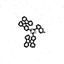 CC1C=Cc2c(cccc2-c2nc(-c3ccc4c(c3)C3(c5ccccc5-c5ccccc53)c3ccccc3-4)nc(-c3ccc4c(c3)C3(c5ccccc5-c5ccccc53)c3ccccc3-4)n2)C1